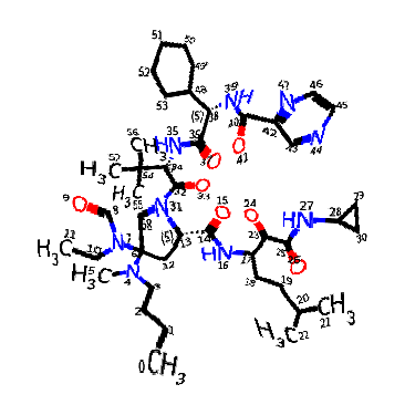 CCCCN(C)C1(N(C=O)CC)C[C@@H](C(=O)NC(CCC(C)C)C(=O)C(=O)NC2CC2)N(C(=O)[C@@H](NC(=O)[C@@H](NC(=O)c2cnccn2)C2CCCCC2)C(C)(C)C)C1